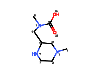 CN1CCNC(CN(C)C(=O)O)C1